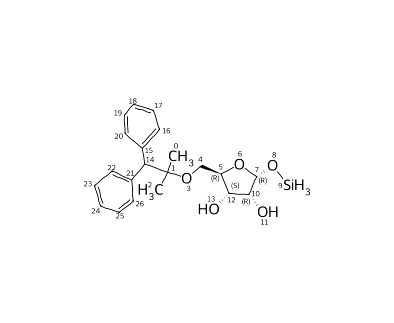 CC(C)(OC[C@H]1O[C@H](O[SiH3])[C@H](O)[C@@H]1O)C(c1ccccc1)c1ccccc1